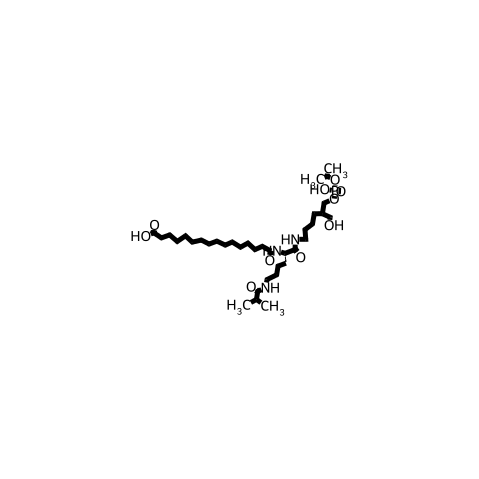 CC(C)OP(=O)(O)OCC(CO)CCCCNC(=O)[C@H](CCCCNC(=O)C(C)C)NC(=O)CCCCCCCCCCCCCCC(=O)O